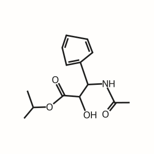 CC(=O)NC(c1ccccc1)C(O)C(=O)OC(C)C